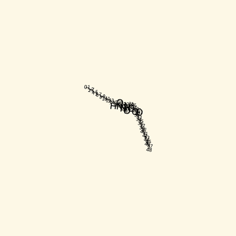 CCC=CCC=CCC=CCCCCCCCC(=O)Nc1ccn([C@@H]2CC[C@@H](COC(=O)CCCCCCCC=CCC=CCC=CCC)O2)c(=O)n1